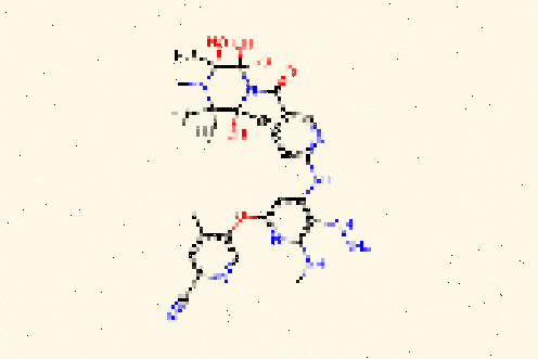 BC1(B)N(C)C(B)(O)C(O)(O)N(C(=O)c2ccc(Nc3cc(Oc4cnc(C#N)cc4C)nc(NC)c3NN)nc2)C1(B)O